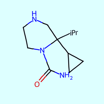 CC(C)C1(C2CC2)CNCCN1C(N)=O